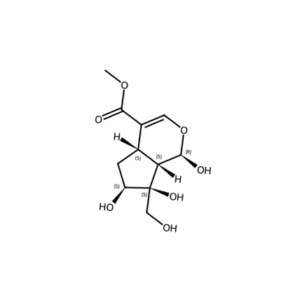 COC(=O)C1=CO[C@@H](O)[C@H]2[C@@H]1C[C@H](O)[C@@]2(O)CO